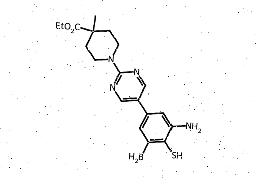 Bc1cc(-c2cnc(N3CCC(C)(C(=O)OCC)CC3)nc2)cc(N)c1S